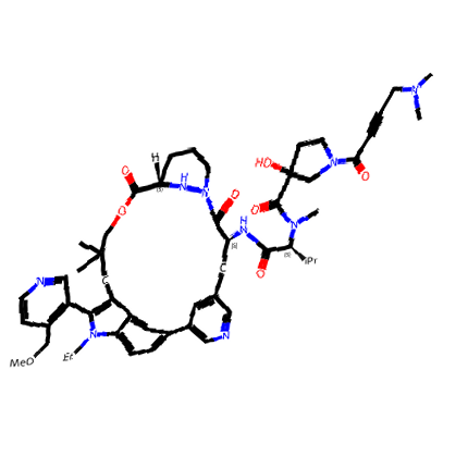 CCn1c(-c2cnccc2COC)c2c3cc(ccc31)-c1cncc(c1)C[C@H](NC(=O)[C@H](C(C)C)N(C)C(=O)C1(O)CCN(C(=O)C#CCN(C)C)C1)C(=O)N1CCC[C@H](N1)C(=O)OCC(C)(C)C2